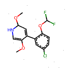 COC1=CNC(OC)C=C1c1cc(Cl)ccc1OC(F)F